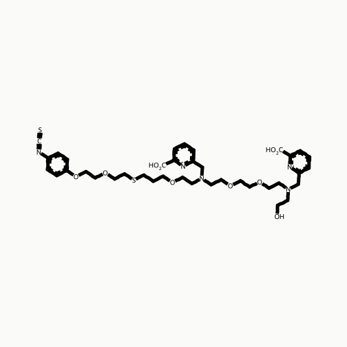 O=C(O)c1cccc(CN(CCO)CCOCCOCCN(CCOCCCSCCOCCOc2ccc(N=C=S)cc2)Cc2cccc(C(=O)O)n2)n1